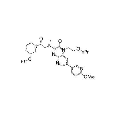 CCCOCCn1c(=O)c(N(C)CC(=O)N2CCC[C@@H](OCC)C2)nc2ncc(-c3ccc(OC)nc3)cc21